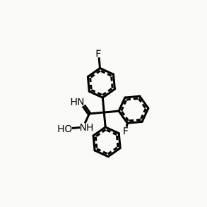 N=C(NO)C(c1ccccc1)(c1ccc(F)cc1)c1ccccc1F